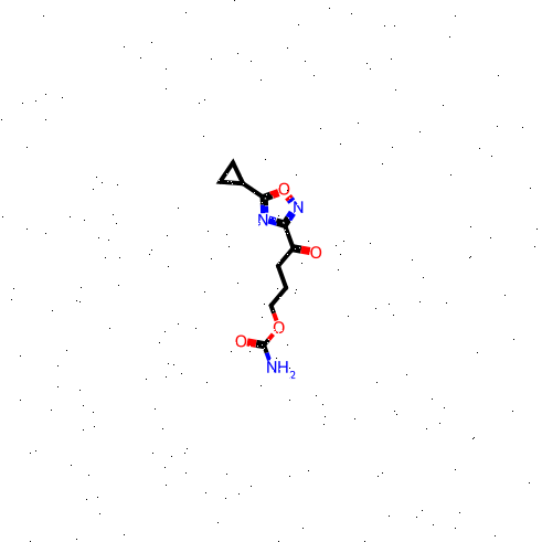 NC(=O)OCCCC(=O)c1noc(C2CC2)n1